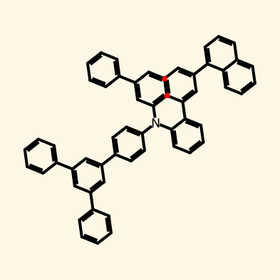 c1ccc(-c2cc(-c3ccccc3)cc(-c3ccc(N(c4cccc(-c5ccccc5)c4)c4ccccc4-c4cccc(-c5cccc6ccccc56)c4)cc3)c2)cc1